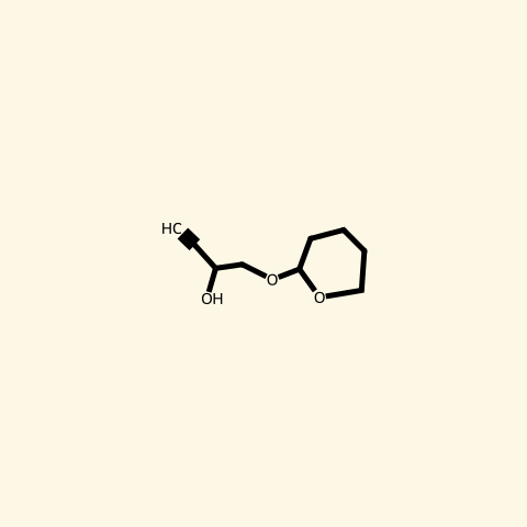 C#CC(O)COC1CCCCO1